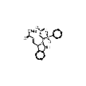 COC(=O)C=CC1c2ccccc2NN1N(C[SH](=O)=O)S(=O)(=O)c1ccccc1